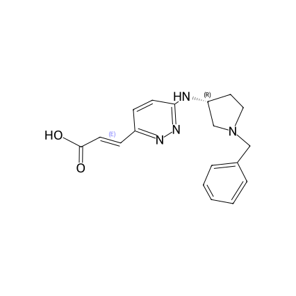 O=C(O)/C=C/c1ccc(N[C@@H]2CCN(Cc3ccccc3)C2)nn1